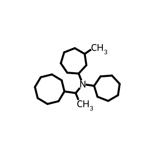 CC1CCCCC(N(C2CCCCCC2)C(C)C2CCCCCCC2)C1